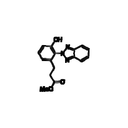 COC(=O)CCc1cccc(O)c1-n1nc2ccccc2n1